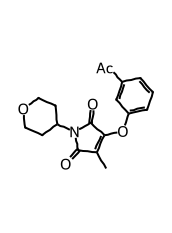 CC(=O)c1cccc(OC2=C(C)C(=O)N(C3CCOCC3)C2=O)c1